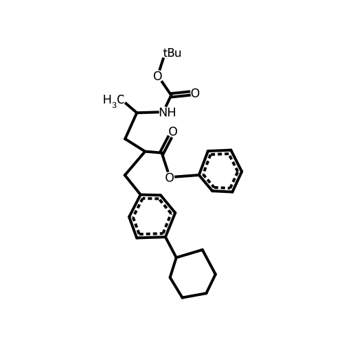 CC(CC(Cc1ccc(C2CCCCC2)cc1)C(=O)Oc1ccccc1)NC(=O)OC(C)(C)C